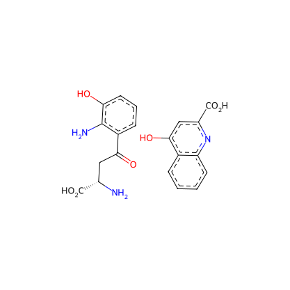 Nc1c(O)cccc1C(=O)C[C@H](N)C(=O)O.O=C(O)c1cc(O)c2ccccc2n1